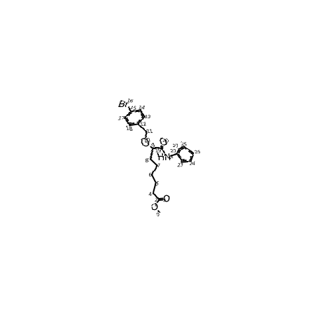 COC(=O)CCCCCC(OCc1ccc(Br)cc1)C(=O)Nc1ccccc1